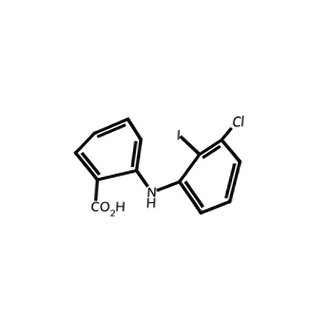 O=C(O)c1ccccc1Nc1cccc(Cl)c1I